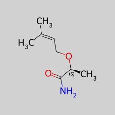 CC(C)=CCO[C@@H](C)C(N)=O